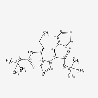 CCC[C@H](NC(=O)OC(C)(C)C)c1nncn1[C@@H](Cc1ccccc1)C(=O)OC(C)(C)C